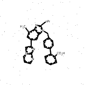 CCCc1nc2c(C)cc(-c3cn4cccnc4n3)cc2n1Cc1ccc(-c2ccccc2C(=O)O)cc1